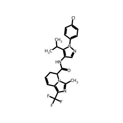 Cc1nc(C(F)(F)F)c2n1C(C(=O)Nc1cnn(-c3ccc(Cl)cc3)c1C(C)C)CC=C2